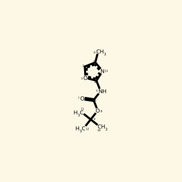 Cc1coc(NC(=O)OC(C)(C)C)n1